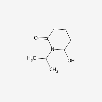 CC(C)N1C(=O)CCCC1O